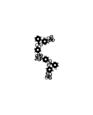 CB1OB(c2ccc(OC(Oc3ccc(OS(=O)(=O)F)cc3)c3ccccc3)cc2)OB(c2ccc(OC(Oc3ccc(OS(=O)(=O)F)cc3)c3ccccc3)cc2)O1